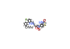 COc1cccc(-c2cc(CNCCC3CN(c4ccc5c(c4)NC(=O)CS5)C(=O)O3)ccc2F)c1